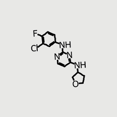 Fc1ccc(Nc2nccc(NC3CCOC3)n2)cc1Cl